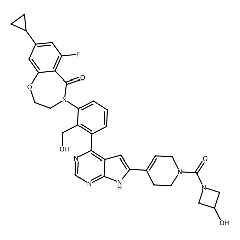 O=C(N1CC=C(c2cc3c(-c4cccc(N5CCOc6cc(C7CC7)cc(F)c6C5=O)c4CO)ncnc3[nH]2)CC1)N1CC(O)C1